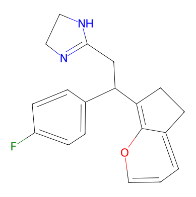 Fc1ccc(C(CC2=NCCN2)C2=C3OC=CC=C3CC2)cc1